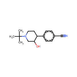 CC(C)(C)N1CCC(c2ccc(C#N)cc2)C(O)C1